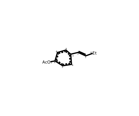 CCC=Cc1ccc(OC(C)=O)cc1